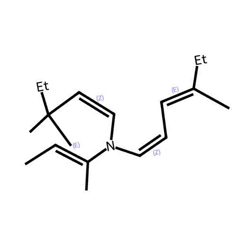 C/C=C(\C)N(/C=C\C=C(/C)CC)/C=C\C(C)(C)CC